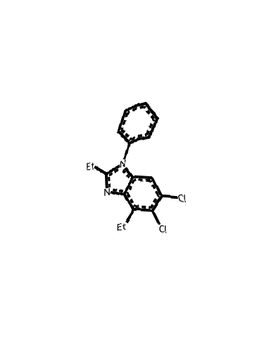 CCc1c(Cl)c(Cl)cc2c1nc(CC)n2-c1ccccc1